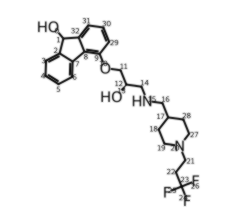 OC1c2ccccc2-c2c(OC[C@H](O)CNCC3CCN(CCC(F)(F)F)CC3)cccc21